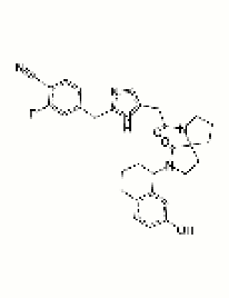 N#Cc1ccc(Cc2ncc(CC(=O)N3CCCC34CCN(C3CCCc5ccc(O)cc53)C4=O)[nH]2)cc1F